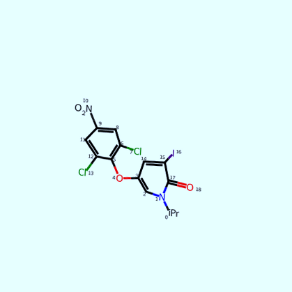 CC(C)n1cc(Oc2c(Cl)cc([N+](=O)[O-])cc2Cl)cc(I)c1=O